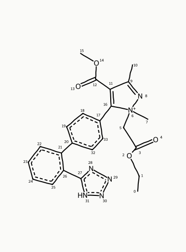 CCOC(=O)C[N+]1(C)N=C(C)C(C(=O)OC)=C1c1ccc(-c2ccccc2-c2nnn[nH]2)cc1